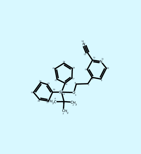 CC(C)(C)[Si](OCCc1ccnc(C#N)c1)(c1ccccc1)c1ccccc1